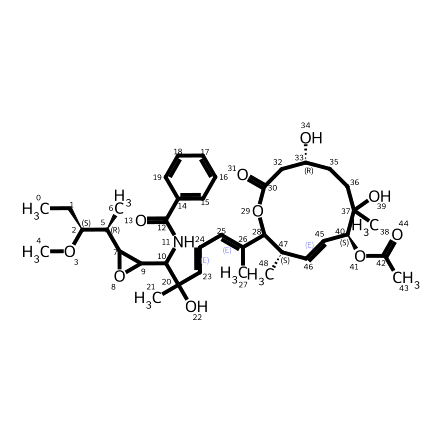 CC[C@H](OC)[C@@H](C)C1OC1C(NC(=O)c1ccccc1)C(C)(O)/C=C/C=C(\C)C1OC(=O)C[C@H](O)CCC(C)(O)[C@@H](OC(C)=O)/C=C/[C@@H]1C